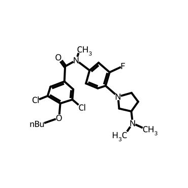 CCCCOc1c(Cl)cc(C(=O)N(C)c2ccc(N3CCC(N(C)C)C3)c(F)c2)cc1Cl